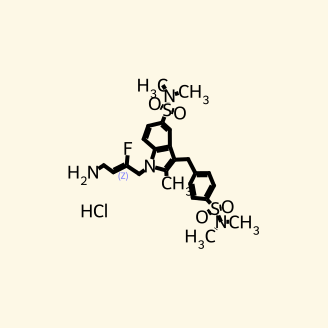 Cc1c(Cc2ccc(S(=O)(=O)N(C)C)cc2)c2cc(S(=O)(=O)N(C)C)ccc2n1C/C(F)=C/CN.Cl